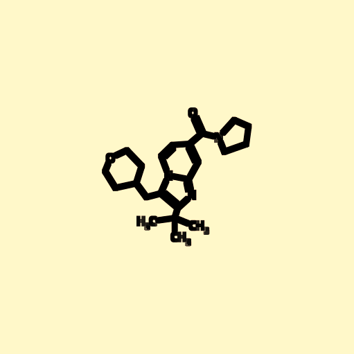 CC(C)(C)c1nc2cc(C(=O)N3CCCC3)ccn2c1CC1CCOCC1